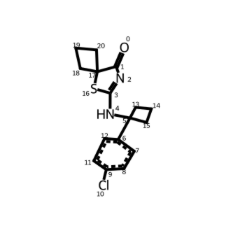 O=C1N=C(NC2(c3ccc(Cl)cc3)CCC2)SC12CCC2